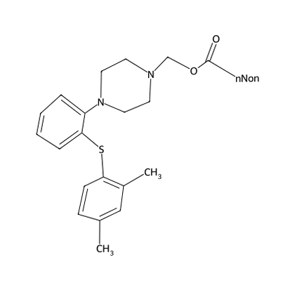 CCCCCCCCCC(=O)OCN1CCN(c2ccccc2Sc2ccc(C)cc2C)CC1